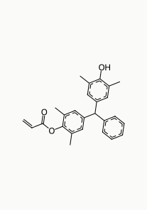 C=CC(=O)Oc1c(C)cc(C(c2ccccc2)c2cc(C)c(O)c(C)c2)cc1C